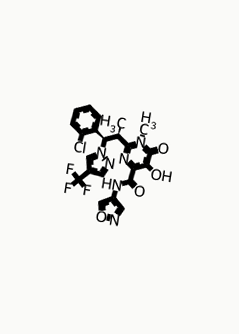 C[C@H](c1nc(C(=O)Nc2cnoc2)c(O)c(=O)n1C)[C@H](c1ccccc1Cl)n1cc(C(F)(F)F)cn1